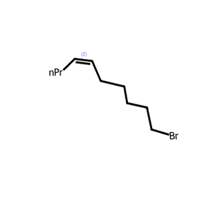 CCC/C=C\CCCCCBr